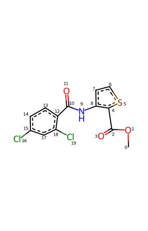 COC(=O)c1sccc1NC(=O)c1ccc(Cl)cc1Cl